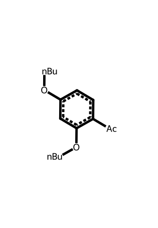 CCCCOc1ccc(C(C)=O)c(OCCCC)c1